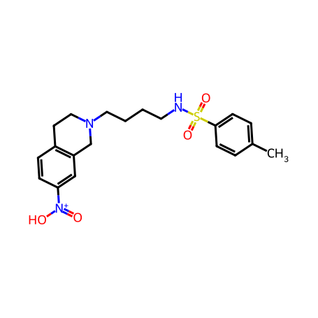 Cc1ccc(S(=O)(=O)NCCCCN2CCc3ccc([N+](=O)O)cc3C2)cc1